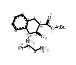 CC(C)(C)OC(=O)[C@@H]1Cc2ccccc2[C@@H](N)C1=O.CC(C)CCN